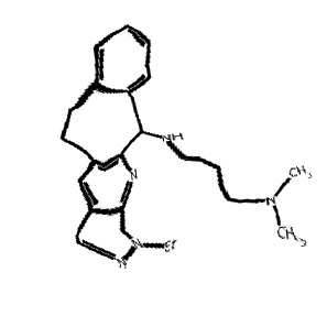 CCn1ncc2cc3c(nc21)C(NCCCN(C)C)c1ccccc1CC3